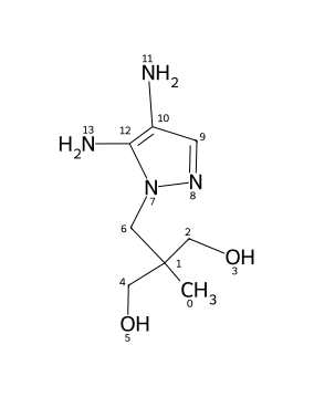 CC(CO)(CO)Cn1ncc(N)c1N